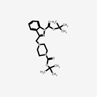 CC(C)(C)OC(=O)N1CCN(Cc2nn(C(=O)OC(C)(C)C)c3ccccc23)CC1